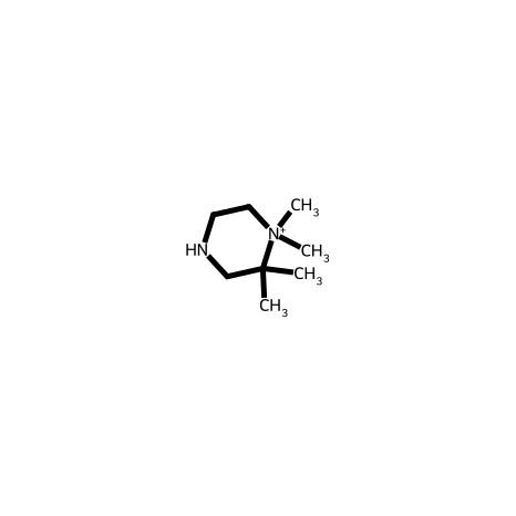 CC1(C)CNCC[N+]1(C)C